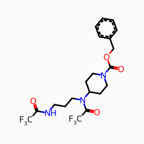 O=C(OCc1ccccc1)N1CCC(N(CCCNC(=O)C(F)(F)F)C(=O)C(F)(F)F)CC1